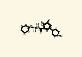 Cc1cc(C2CCN(C)CC2)cc(C(=O)NNSC2CCCCC2)c1F